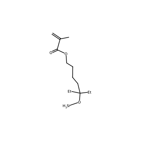 C=C(C)C(=O)OCCCCC(CC)(CC)O[SiH3]